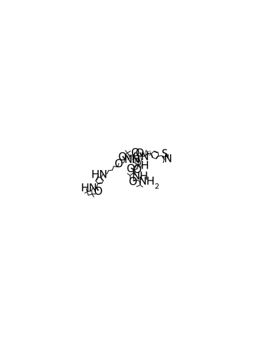 Cc1ncsc1-c1ccc([C@H](C)NC(=O)[C@@H]2C[C@@H](OC(=O)C(NC(=O)C(N)C(C)C)C(C)C)CN2C(=O)[C@@H](NC(=O)COCCCCCNc2ccc(C(=O)NC3C(C)(C)CC3(C)C)cc2)C(C)(C)C)cc1